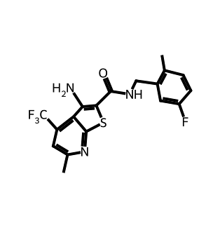 Cc1cc(C(F)(F)F)c2c(N)c(C(=O)NCc3cc(F)ccc3C)sc2n1